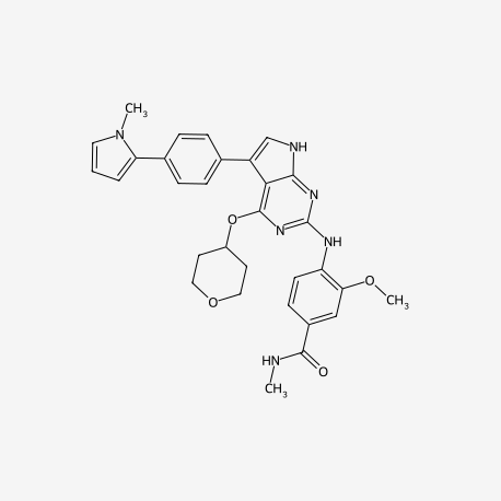 CNC(=O)c1ccc(Nc2nc(OC3CCOCC3)c3c(-c4ccc(-c5cccn5C)cc4)c[nH]c3n2)c(OC)c1